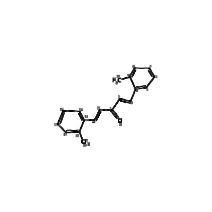 O=C(C=Cc1ccccc1C(F)(F)F)C=Cc1ccccc1C(F)(F)F